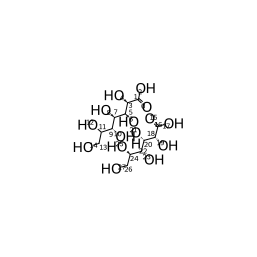 O=C(O)[C@H](O)[C@@H](O)[C@H](O)[C@H](O)C(O)CO.O=C(O)[C@H](O)[C@@H](O)[C@H](O)[C@H](O)CO